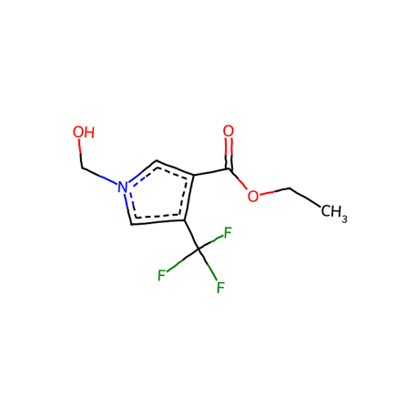 CCOC(=O)c1cn(CO)cc1C(F)(F)F